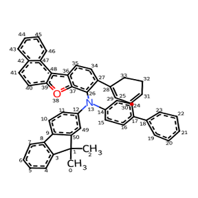 CC1(C)c2ccccc2-c2ccc(N(c3ccc(-c4ccccc4)cc3)c3c(C4=CC=CCC4)ccc4c3oc3ccc5ccccc5c34)cc21